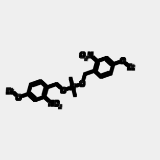 CCOc1ccc(CO[Si](C)(C)OCc2ccc(OCC)cc2[N+](=O)[O-])c([N+](=O)[O-])c1